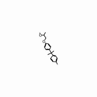 COC(C)COc1ccc(C(C)(C)c2ccc(C)cc2)cc1